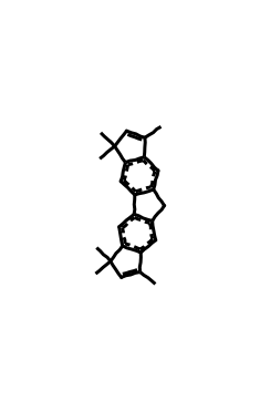 CC1=CC(C)(C)c2cc3c(cc21)Cc1cc2c(cc1-3)C(C)(C)C=C2C